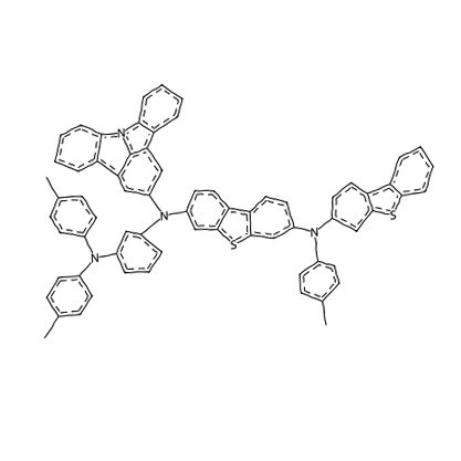 Cc1ccc(N(c2ccc(C)cc2)c2cccc(N(c3ccc4c(c3)sc3cc(N(c5ccc(C)cc5)c5ccc6c(c5)sc5ccccc56)ccc34)c3cc4c5ccccc5n5c6ccccc6c(c3)c45)c2)cc1